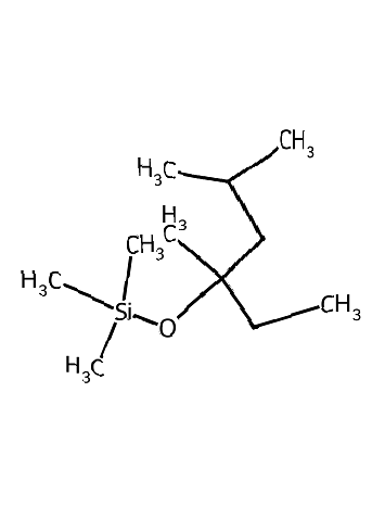 CCC(C)(CC(C)C)O[Si](C)(C)C